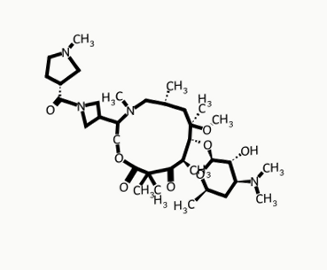 CO[C@]1(C)C[C@@H](C)CN(C)C(C2CN(C(=O)[C@@H]3CCN(C)C3)C2)COC(=O)C(C)(C)C(=O)[C@H](C)[C@H]1O[C@@H]1O[C@H](C)C[C@H](N(C)C)[C@H]1O